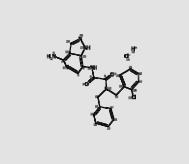 Nc1ncc(NC(=O)C(=O)N(Cc2ccccc2)Cc2ccccc2Cl)c2[nH]ncc12.[Cl-].[H+]